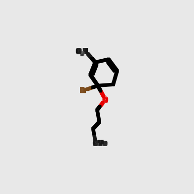 COCCCOC1(Br)C=C([N+](=O)[O-])C=CC1